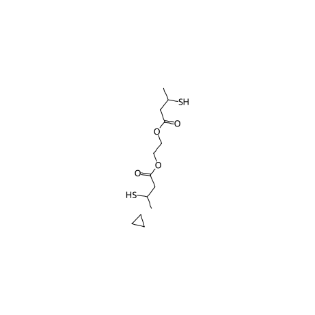 C1CC1.CC(S)CC(=O)OCCOC(=O)CC(C)S